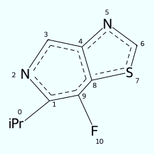 CC(C)c1ncc2ncsc2c1F